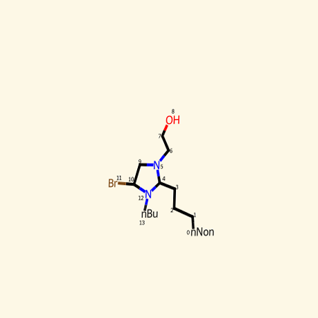 CCCCCCCCCCCCC1N(CCO)CC(Br)N1CCCC